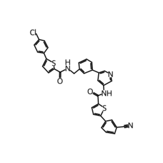 N#Cc1cccc(-c2ccc(C(=O)Nc3cncc(-c4cccc(CNC(=O)c5ccc(-c6ccc(Cl)cc6)s5)c4)c3)s2)c1